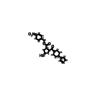 O=C(C1CC(S)CN1C(=O)OCc1ccc([N+](=O)[O-])cc1)N1CCC(n2ccnc2)CC1